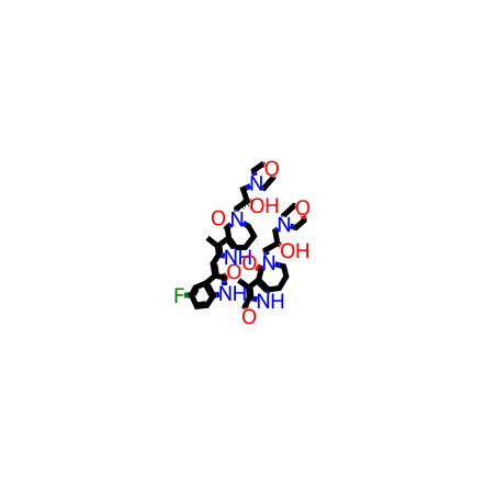 Cc1c(C=C2C(=O)Nc3ccc(F)cc32)[nH]c2c1C(=O)N(C[C@H](O)CN1CCOCC1)CCC2.Cc1c(C=O)[nH]c2c1C(=O)N(CC(O)CN1CCOCC1)CCC2